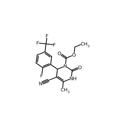 CCOC(=O)N1C(=O)NC(C)=C(C#N)C1c1cc(C(F)(F)F)ccc1F